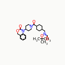 CC(C)(C)ON(C=O)CC1CCC(C(=O)N2CCC(N3C(=O)OCc4ccccc43)CC2)CC1